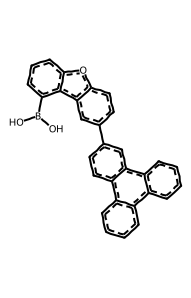 OB(O)c1cccc2oc3ccc(-c4ccc5c6ccccc6c6ccccc6c5c4)cc3c12